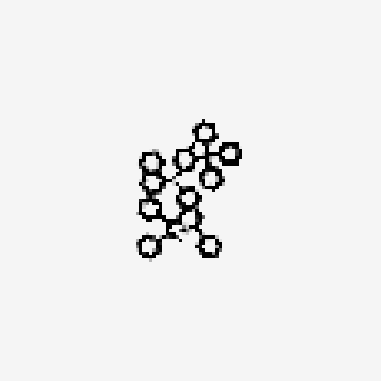 c1ccc(-c2nn3c(-c4ccccc4)cc4ccc(N(c5ccc6c(c5)C(c5ccccc5)(c5ccccc5)c5ccccc5-6)c5cccc6ccccc56)cc4c3c2-c2ccccc2)cc1